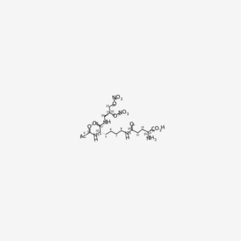 CC(=O)C(=O)N[C@@H](CCCCNC(=O)CC[C@H](N)C(=O)O)C(=O)NC[C@@H](CO[N+](=O)[O-])O[N+](=O)[O-]